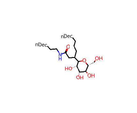 CCCCCCCCCCCCCC(CC(=O)NCCCCCCCCCCCC)C1O[C@H](CO)[C@@H](O)[C@H](O)[C@@H]1O